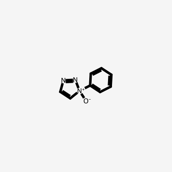 [O-][N+]1(c2ccccc2)C=CN=N1